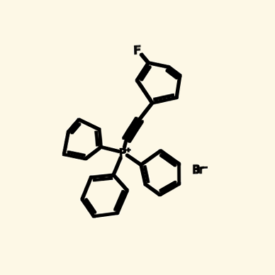 Fc1cccc(C#C[P+](c2ccccc2)(c2ccccc2)c2ccccc2)c1.[Br-]